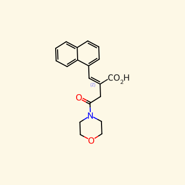 O=C(O)/C(=C\c1cccc2ccccc12)CC(=O)N1CCOCC1